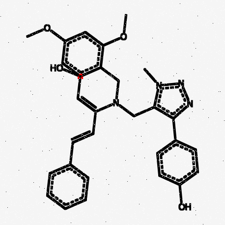 COc1ccc(CN(Cc2c(-c3ccc(O)cc3)nnn2C)C(=C\CO)/C=C/c2ccccc2)c(OC)c1